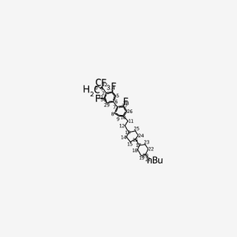 C=C(c1c(F)cc(-c2ccc(CCC3CCC(C4CCC(CCCC)CC4)CC3)cc2F)cc1F)C(F)(F)F